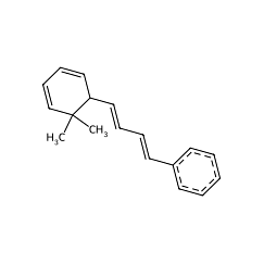 CC1(C)C=CC=CC1C=CC=Cc1ccccc1